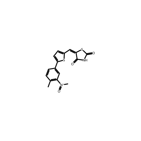 Cc1ccc(-c2ccc(C=C3SC(=O)NC3=O)s2)cc1[N+](C)=O